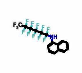 FC(F)(F)C(F)(F)C(F)(F)C(F)(F)C(F)(F)C(F)(F)Nc1cccc2ccccc12